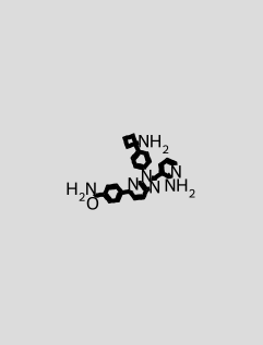 NC(=O)c1ccc(-c2ccc3nc(-c4cccnc4N)n(-c4ccc(C5(N)CCC5)cc4)c3n2)cc1